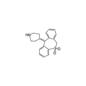 O=S1(=O)Cc2ccccc2C(=C2CCNCC2)c2ccccc21